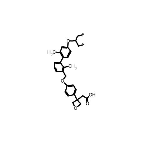 Cc1cc(OC(CF)CF)ccc1-c1cccc(COc2ccc(C3(CC(=O)O)COC3)cc2)c1C